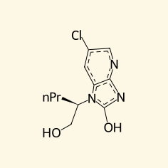 CCC[C@H](CO)n1c(O)nc2ncc(Cl)cc21